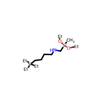 CCO[Si](C)(CNCCCC[Si](CC)(CC)CC)OCC